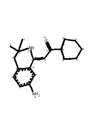 CC1(C)Cc2ccc(N)cc2/C(=C/C(=O)C2CCCCC2)N1